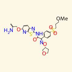 C=C(N)COc1ccc2nc(NC(=O)/C(=N/O[C@@H]3CCOC3)c3ccc(S(=O)(=O)CCCOC)cc3)sc2n1